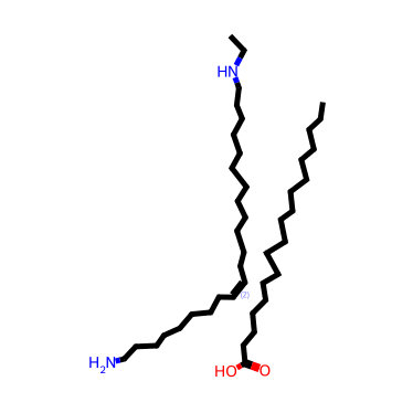 CCCCCCCCCCCCCCCCCC(=O)O.CCNCCCCCCCCCCCC/C=C\CCCCCCCCN